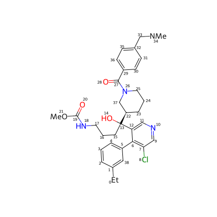 CCc1cccc(-c2c(Cl)cncc2C(O)(CCCNC(=O)OC)[C@@H]2CCCN(C(=O)c3ccc(CNC)cc3)C2)c1